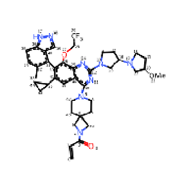 C=CC(=O)N1CC2(CCN(c3nc(N4CC[C@@H](N5CC[C@H](OC)C5)C4)nc4c(OCC(F)(F)F)c(-c5c(C)ccc6[nH]ncc56)c(C5CC5)cc34)CC2)C1